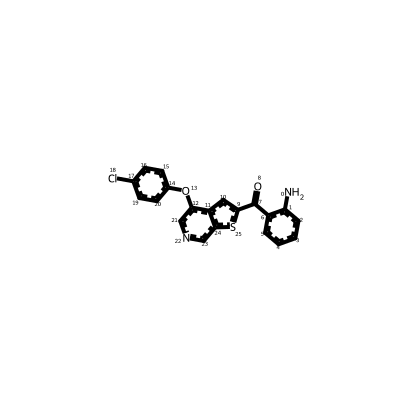 Nc1ccccc1C(=O)c1cc2c(Oc3ccc(Cl)cc3)cncc2s1